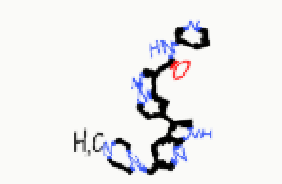 CN1CCN(Cc2cnc3[nH]cc(-c4ccn5ncc(C(=O)Nc6cccnc6)c5c4)c3c2)CC1